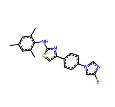 Cc1cc(C)c(Nc2nc(-c3ccc(-n4cnc(Br)c4)cc3)cs2)c(C)c1